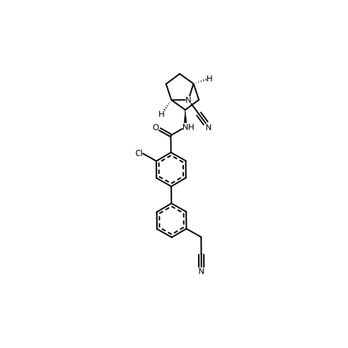 N#CCc1cccc(-c2ccc(C(=O)N[C@@H]3C[C@@H]4CC[C@H]3N4C#N)c(Cl)c2)c1